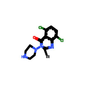 CCc1nc2c(Cl)ccc(Cl)c2c(=O)n1N1CCNCC1